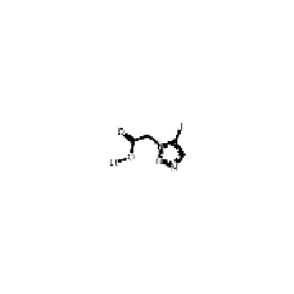 CCOC(=O)Cn1nncc1I